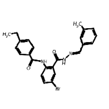 CCc1ccc(C(=O)Nc2ccc(Br)cc2C(=O)N/N=C/c2cccc(C)c2)cc1